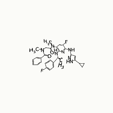 C[C@H](Nc1nc(Nc2cc(C3CC3)[nH]n2)c(F)cc1N(C)C(=O)CN(C)C(=O)c1ccccc1)c1ccc(F)cc1